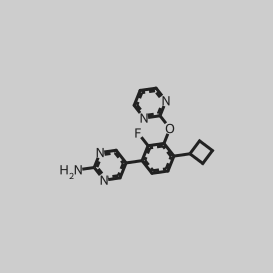 Nc1ncc(-c2ccc(C3CCC3)c(Oc3ncccn3)c2F)cn1